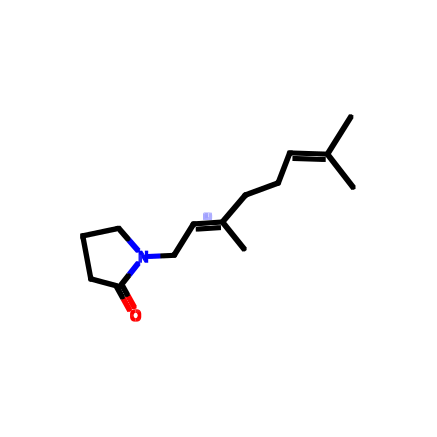 CC(C)=CCC/C(C)=C/CN1CCCC1=O